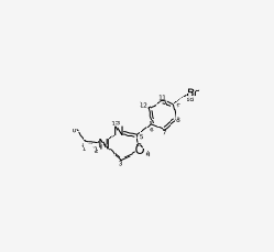 CCN1COC(c2ccc(Br)cc2)=N1